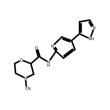 N#CN1CCOC(C(=O)Nc2ccc(-c3ccn[nH]3)cn2)C1